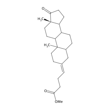 COC(=O)CC/C=C1\CCC2(C)C(CCC3C2CC[C@]2(C)C(=O)CCC32)C1